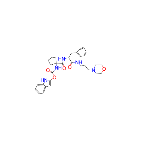 O=C(NC1(C(=O)NC(Cc2ccccc2)C(=O)NCCCN2CCOCC2)CCCC1)Oc1cc2ccccc2[nH]1